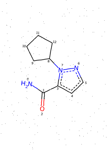 NC(=O)c1ccnn1C1CCCC1